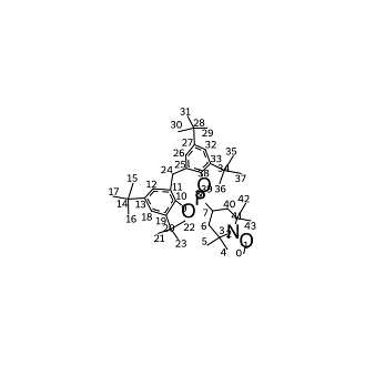 CON1C(C)(C)CC(P2Oc3c(cc(C(C)(C)C)cc3C(C)(C)C)Cc3cc(C(C)(C)C)cc(C(C)(C)C)c3O2)CC1(C)C